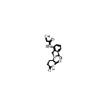 C=CC(=O)Nc1cccc2c1CN(C1CCC(=O)NC1=O)C2=O